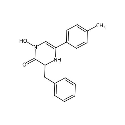 Cc1ccc(C2=CN(O)C(=O)C(Cc3ccccc3)N2)cc1